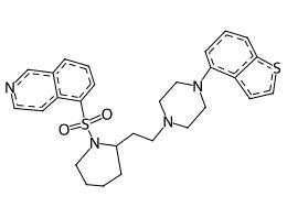 O=S(=O)(c1cccc2cnccc12)N1CCCCC1CCN1CCN(c2cccc3sccc23)CC1